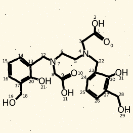 O=C(O)CN(CCN(CC(=O)O)Cc1cccc(CO)c1O)Cc1cccc(CO)c1O